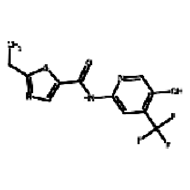 CCc1ncc(C(=O)Nc2cc(C(F)(F)F)c(O)cn2)s1